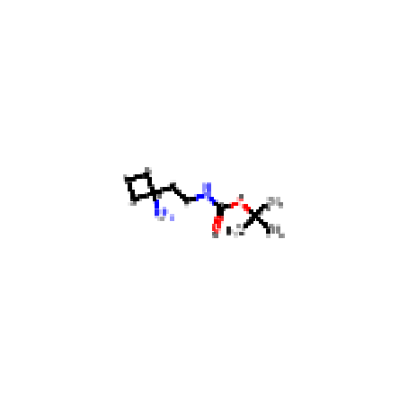 CC(C)(C)OC(=O)NCCC1(N)CCC1